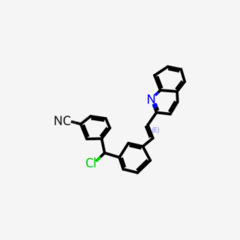 N#Cc1cccc(C(Cl)c2cccc(/C=C/c3ccc4ccccc4n3)c2)c1